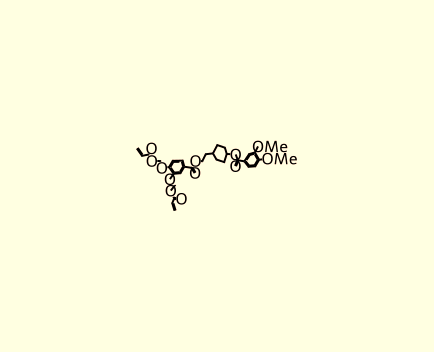 C=CC(=O)OCOc1ccc(C(=O)OCCC2CCC(OC(=O)c3ccc(OC)c(OC)c3)CC2)cc1OCOC(=O)C=C